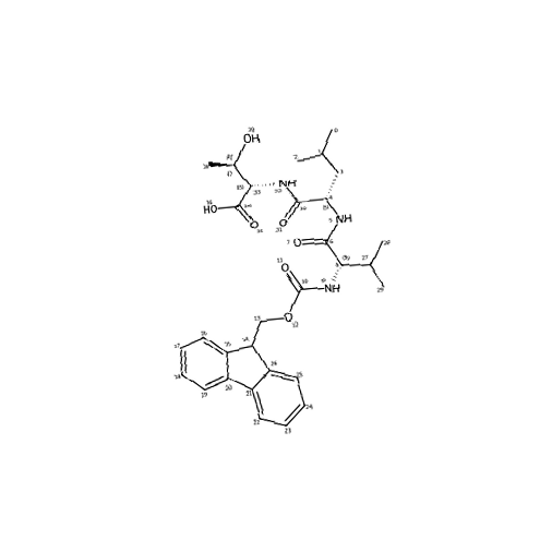 CC(C)C[C@H](NC(=O)[C@@H](NC(=O)OCC1c2ccccc2-c2ccccc21)C(C)C)C(=O)N[C@H](C(=O)O)[C@@H](C)O